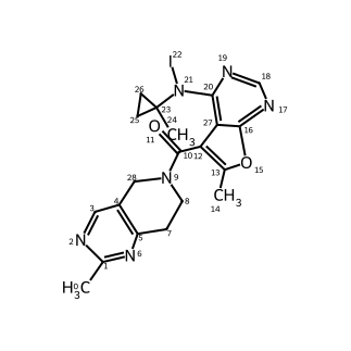 Cc1ncc2c(n1)CCN(C(=O)c1c(C)oc3ncnc(N(I)C4(C)CC4)c13)C2